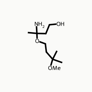 COC(C)(C)CCOC(C)(N)CCO